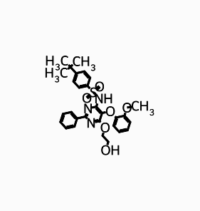 COc1ccccc1Oc1c(NS(=O)(=O)c2ccc(C(C)(C)C)cc2)nc(-c2ccccc2)nc1OCCO